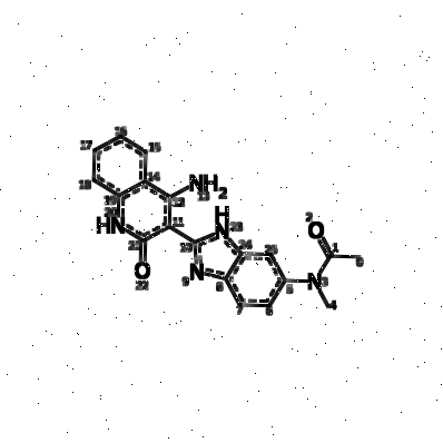 CC(=O)N(C)c1ccc2nc(-c3c(N)c4ccccc4[nH]c3=O)[nH]c2c1